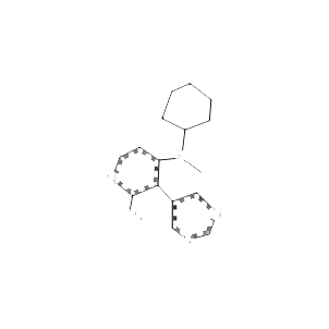 CN(c1ccnc(C#N)c1-c1cncnc1)C1CCCCC1